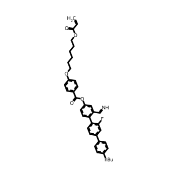 C=CC(=O)OCCCCCCOc1ccc(C(=O)Oc2ccc(-c3ccc(-c4ccc(CCCC)cc4)cc3F)c(C=N)c2)cc1